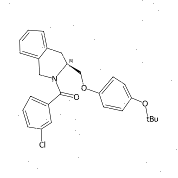 CC(C)(C)Oc1ccc(OC[C@@H]2Cc3ccccc3CN2C(=O)c2cccc(Cl)c2)cc1